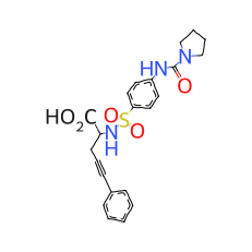 O=C(O)C(CC#Cc1ccccc1)NS(=O)(=O)c1ccc(NC(=O)N2CCCC2)cc1